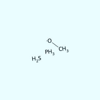 C[O].P.S